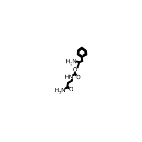 NC(=O)CCNC(=O)OCC(N)Cc1ccccc1